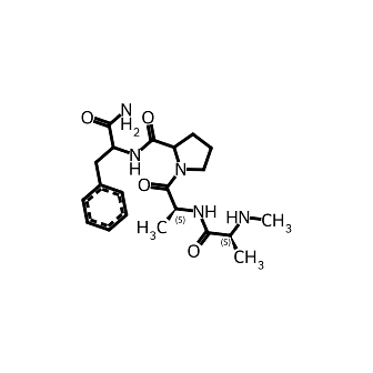 CN[C@@H](C)C(=O)N[C@@H](C)C(=O)N1CCCC1C(=O)NC(Cc1ccccc1)C(N)=O